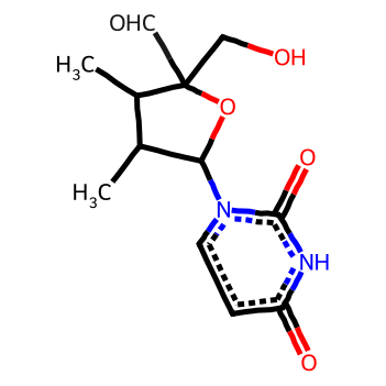 CC1C(n2ccc(=O)[nH]c2=O)OC(C=O)(CO)C1C